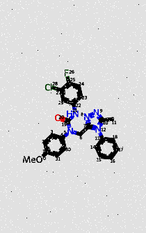 COc1ccc(N(Cc2nnc(C)n2-c2ccccc2)C(=O)Nc2ccc(F)c(Cl)c2)cc1